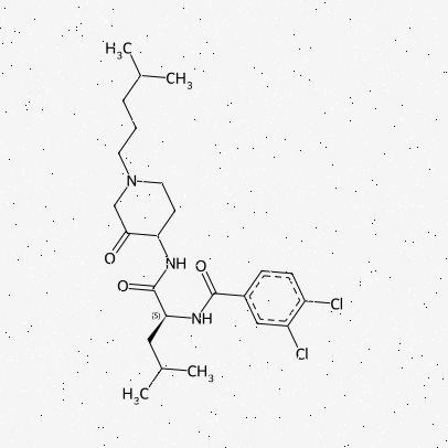 CC(C)CCCN1CCC(NC(=O)[C@H](CC(C)C)NC(=O)c2ccc(Cl)c(Cl)c2)C(=O)C1